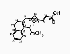 CCCC1=C(CC23CC(/C=C/C(=O)O)(C2)C3)CCc2ccccc21